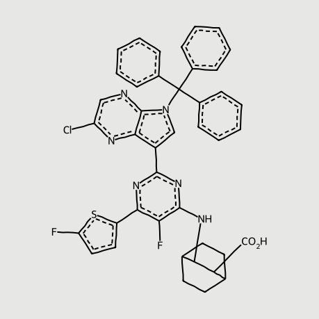 O=C(O)C1C2CCC(CC2)C1Nc1nc(-c2cn(C(c3ccccc3)(c3ccccc3)c3ccccc3)c3ncc(Cl)nc23)nc(-c2ccc(F)s2)c1F